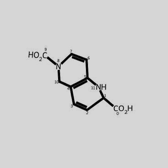 O=C(O)C1C=CC2=C(C=CN(C(=O)O)C2)N1